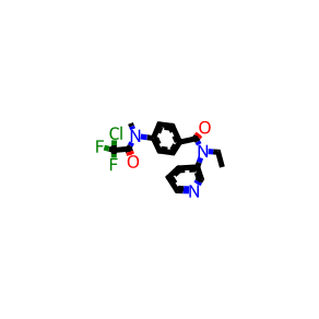 CCN(C(=O)c1ccc(N(C)C(=O)C(F)(F)Cl)cc1)c1cccnc1